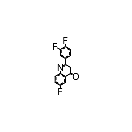 O=C1CC(c2ccc(F)c(F)c2)=Nc2ccc(F)cc21